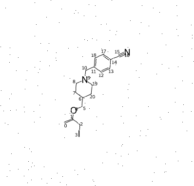 C=C(CI)OCC1CCN(Cc2ccc(C#N)cc2)CC1